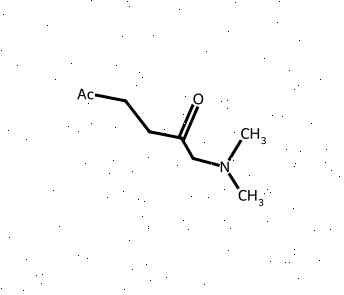 CC(=O)CCC(=O)CN(C)C